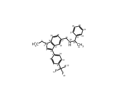 CCn1cc(-c2ccc(C(F)(F)F)cc2)c2cc(CNC(C)c3ccccc3)ccc21